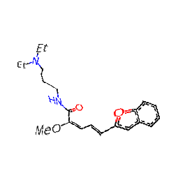 CCN(CC)CCCNC(=O)/C(=C\C=C\c1cc2ccccc2o1)OC